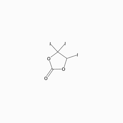 O=C1OC(I)C(I)(I)O1